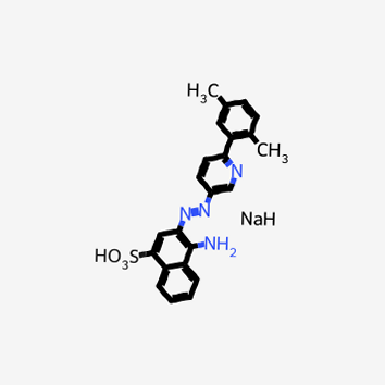 Cc1ccc(C)c(-c2ccc(N=Nc3cc(S(=O)(=O)O)c4ccccc4c3N)cn2)c1.[NaH]